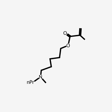 C=C(C)C(=O)OCCCCCN(C)CCC